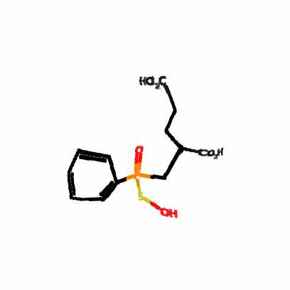 O=C(O)CCC(CP(=O)(SO)c1ccccc1)C(=O)O